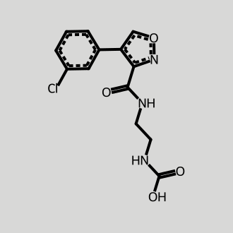 O=C(O)NCCNC(=O)c1nocc1-c1cccc(Cl)c1